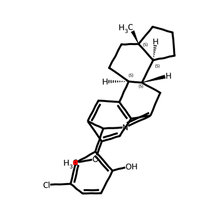 COc1cc2c3cc1C(c1cc(Cl)ccc1O)N=C2C[C@@H]1[C@@H]3CC[C@]2(C)CCC[C@@H]12